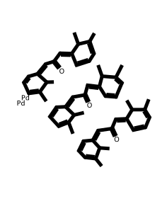 CC1=CC=CC(=CC(=O)C=C2C=CC=C(C)C2C)C1C.CC1=CC=CC(=CC(=O)C=C2C=CC=C(C)C2C)C1C.CC1=CC=CC(=CC(=O)C=C2C=CC=C(C)C2C)C1C.[Pd].[Pd]